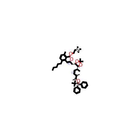 CCCCCc1ccc(C)c(C(=O)OCC[Si](C)(C)C)c1/C=C/C[C@@H]1OC(C)(C)O[C@@H]1C(C)/C=C\[C@@H](C)[C@H](C)O[Si](c1ccccc1)(c1ccccc1)C(C)(C)C